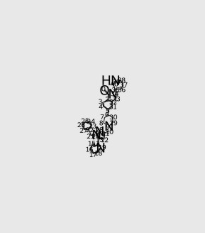 O=C1c2ccc(C3CCN(Cc4cc(-c5ccccn5)n(Cc5ccccc5)n4)CC3)cc2CN1C1CCCNC1